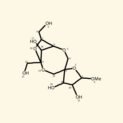 COC1OC2(COC3C(CO)OC(CO)(OC2)C3O)C(O)C1O